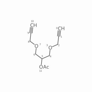 C#CCOCC(COCC#C)OC(C)=O